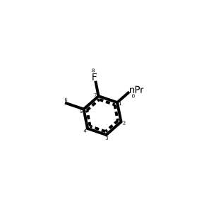 [CH2]CCc1cccc(C)c1F